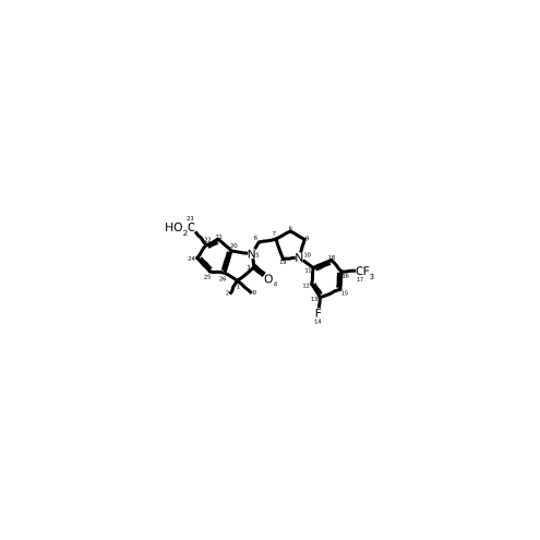 CC1(C)C(=O)N(CC2CCN(c3cc(F)cc(C(F)(F)F)c3)C2)c2cc(C(=O)O)ccc21